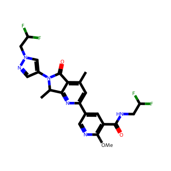 COc1ncc(-c2cc(C)c3c(n2)C(C)N(c2cnn(CC(F)F)c2)C3=O)cc1C(=O)NCC(F)F